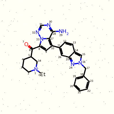 CCN1CCCC(C(=O)c2cc(-c3ccc4cn(Cc5ccccc5)nc4c3)c3c(N)ncnn23)C1